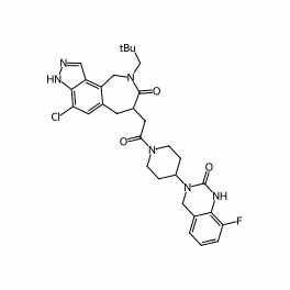 CC(C)(C)CN1Cc2c(cc(Cl)c3[nH]ncc23)CC(CC(=O)N2CCC(N3Cc4cccc(F)c4NC3=O)CC2)C1=O